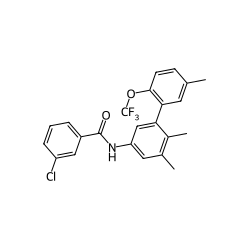 Cc1ccc(OC(F)(F)F)c(-c2cc(NC(=O)c3cccc(Cl)c3)cc(C)c2C)c1